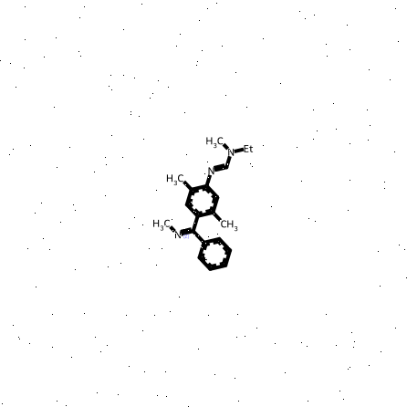 CCN(C)C=Nc1cc(C)c(/C(=N\C)c2ccccc2)cc1C